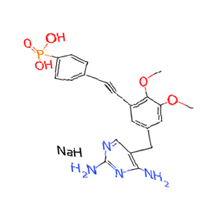 COc1cc(Cc2cnc(N)nc2N)cc(C#Cc2ccc(P(=O)(O)O)cc2)c1OC.[NaH]